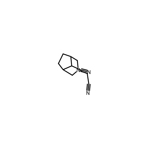 N#CCN1CC2CCC(C1)C2C#N